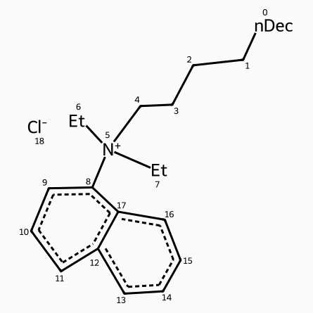 CCCCCCCCCCCCCC[N+](CC)(CC)c1cccc2ccccc12.[Cl-]